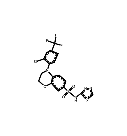 O=S(=O)(Nc1nncs1)c1ccc2c(c1)OCCN2c1ccc(C(F)(F)F)cc1Cl